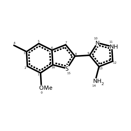 COc1cc(C)cc2cc(-c3n[nH]cc3N)sc12